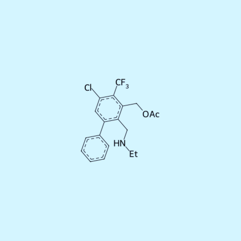 CCNCc1c(-c2ccccc2)cc(Cl)c(C(F)(F)F)c1COC(C)=O